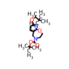 CC(Oc1ccc2c(n1)OCCN(C(=O)OC(C)(C)C)C2)C(C)(C)C